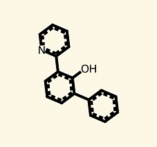 Oc1c(-c2ccccc2)cccc1-c1ccccn1